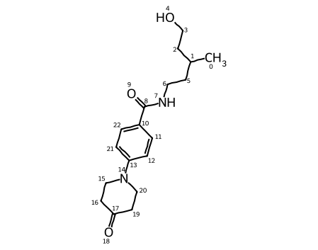 CC(CCO)CCNC(=O)c1ccc(N2CCC(=O)CC2)cc1